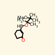 COC(C)(C)C(C)(C)OBC1=CC(=O)CCC1